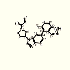 C=CC(=O)N1CCC(n2cnc3ccc(-c4c(C)ccc5[nH]ncc45)cc32)C1